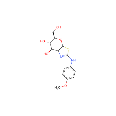 COc1ccc(NC2=NC3C(O[C@H](CO)[C@@H](O)[C@@H]3O)S2)cc1